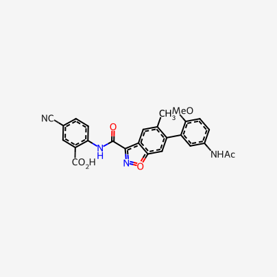 COc1ccc(NC(C)=O)cc1-c1cc2onc(C(=O)Nc3ccc(C#N)cc3C(=O)O)c2cc1C